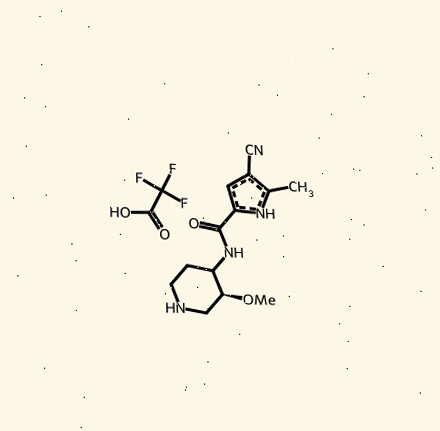 CO[C@H]1CNCCC1NC(=O)c1cc(C#N)c(C)[nH]1.O=C(O)C(F)(F)F